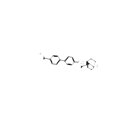 COC(=O)c1ccc(-c2ccc(NC(=O)[C@H]3CN4CCC3CC4)cc2)cc1